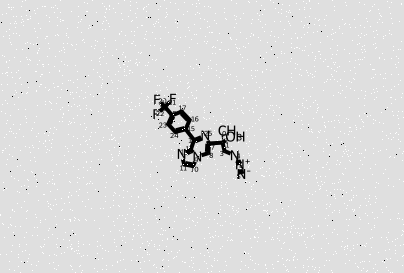 C[C@](O)(CN=[N+]=[N-])c1cn2ccnc2c(-c2ccc(C(F)(F)F)cc2)n1